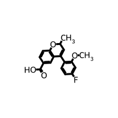 COc1cc(F)ccc1C1=CC(C)Oc2ccc(C(=O)O)cc21